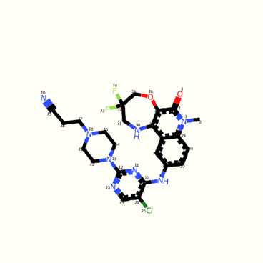 Cn1c(=O)c2c(c3cc(Nc4nc(N5CCN(CCC#N)CC5)ncc4Cl)ccc31)NCC(F)(F)CO2